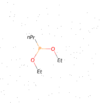 CCCP(OCC)OCC